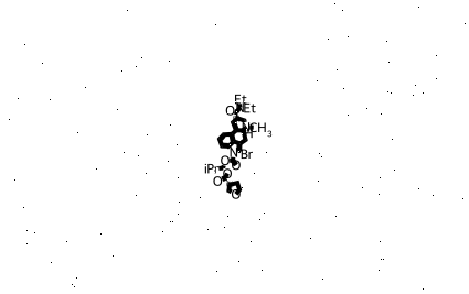 CCN(CC)C(=O)[C@@H]1C=C2c3cccc4c3c(c(Br)n4C(=O)OC(OC(=O)[C@@H]3CCOC3)C(C)C)C[C@H]2N(C)C1